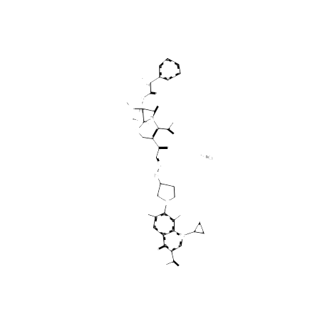 CO[C@]1(NC(=O)[C@H](O)c2ccccc2)C(=O)N2C(C(=O)[O-])=C(C(=S)C=NNC3CCN(c4c(F)cc5c(=O)c(C(=O)[O-])cn(C6CC6)c5c4Cl)C3)CS[C@@H]21.[Na+].[Na+]